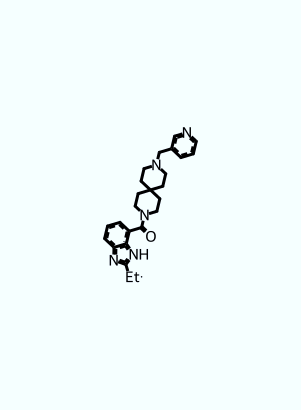 C[CH]c1nc2cccc(C(=O)N3CCC4(CCN(Cc5cccnc5)CC4)CC3)c2[nH]1